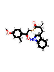 COc1ccc(C(=O)CSC(=O)[C@@H](C)Cc2c[nH]c3ccccc23)c(C)c1